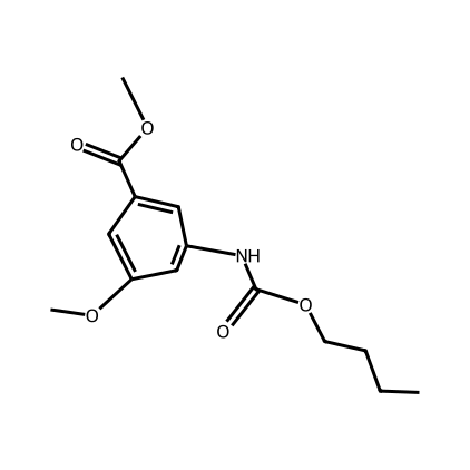 CCCCOC(=O)Nc1cc(OC)cc(C(=O)OC)c1